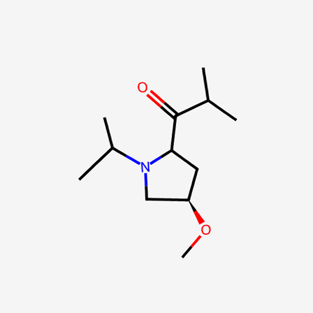 CO[C@@H]1CC(C(=O)C(C)C)N(C(C)C)C1